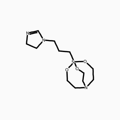 C1=NCCN1CCC[Si]12OCCN(CCO1)CCO2